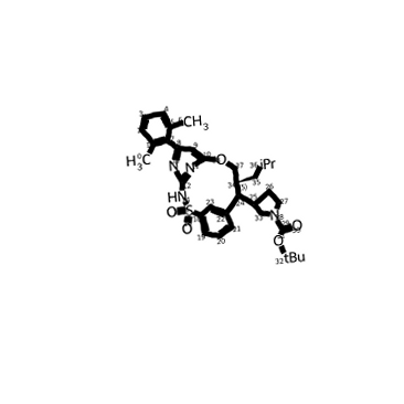 Cc1cccc(C)c1-c1cc2nc(n1)NS(=O)(=O)c1cccc(c1)C(C1CCN(C(=O)OC(C)(C)C)C1)[C@H](CC(C)C)CO2